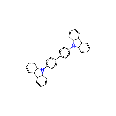 C1=CC2C3C=CC=CC3N(c3ccc(-c4ccc(N5C6C=CC=CC6C6C=CC=CC65)cc4)cc3)C2C=C1